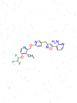 Cc1c(OC(F)C(F)F)ccnc1COc1ccc(Cc2cc(-c3cccnc3N)on2)cn1